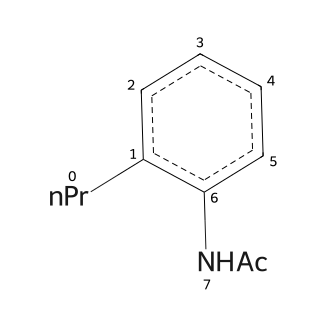 CCCc1ccccc1NC(C)=O